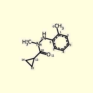 Cc1ccccc1NN(C)C(=O)C1CC1